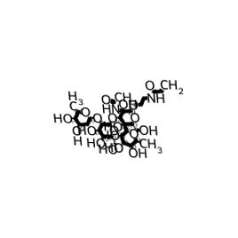 C=CC(=O)NCCO[C@@H]1O[C@H](CO)[C@](O)([C@@H]2O[C@@H](C)[C@@H](O)[C@@H](O)[C@@H]2O)[C@H](O[C@@H]2O[C@H](CO)[C@H](O)[C@H](O)[C@H]2O[C@H]2C[C@H](O)[C@H](O)[C@H](C)O2)[C@]1(O)NC(C)=O